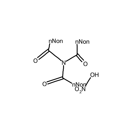 CCCCCCCCCC(=O)N(C(=O)CCCCCCCCC)C(=O)CCCCCCCCC.O=[N+]([O-])O